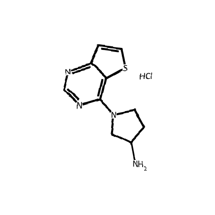 Cl.NC1CCN(c2ncnc3ccsc23)C1